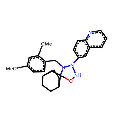 COc1ccc(CN2N(c3ccc4ncccc4c3)NOC23CC2CCC3CC2)c(OC)c1